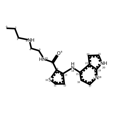 CCCNCCNC(=O)c1sccc1Nc1ccnc2[nH]ccc12